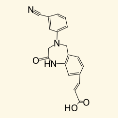 N#Cc1cccc(N2CC(=O)Nc3cc(C=CC(=O)O)ccc3C2)c1